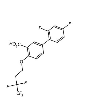 O=C(O)c1cc(-c2ccc(F)cc2F)ccc1OCCC(F)(F)C(F)(F)F